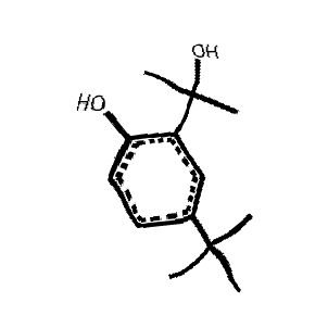 CC(C)(C)c1ccc(O)c(C(C)(C)O)c1